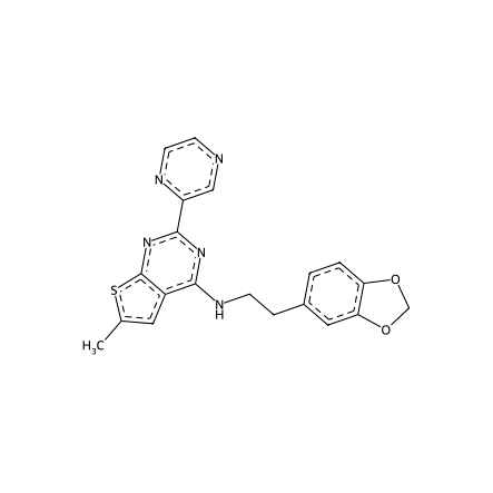 Cc1cc2c(NCCc3ccc4c(c3)OCO4)nc(-c3cnccn3)nc2s1